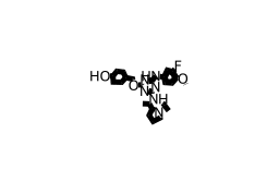 CCN1CCCC1C(C)Nc1nc(Nc2ccc(OC)c(F)c2)nc(OCC2CCC(O)CC2)n1